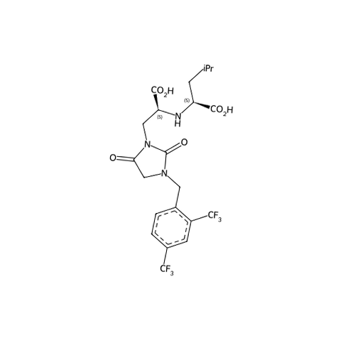 CC(C)C[C@H](N[C@@H](CN1C(=O)CN(Cc2ccc(C(F)(F)F)cc2C(F)(F)F)C1=O)C(=O)O)C(=O)O